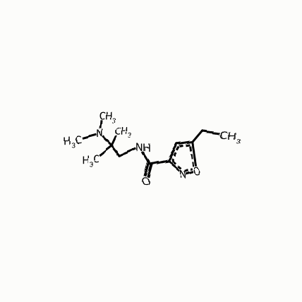 CCc1cc(C(=O)NCC(C)(C)N(C)C)no1